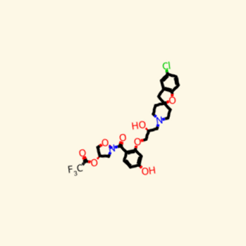 O=C(c1ccc(O)cc1OC[C@@H](O)CN1CCC2(CC1)Cc1cc(Cl)ccc1O2)N1C[C@@H](OC(=O)C(F)(F)F)CO1